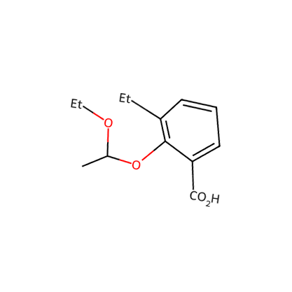 CCOC(C)Oc1c(CC)cccc1C(=O)O